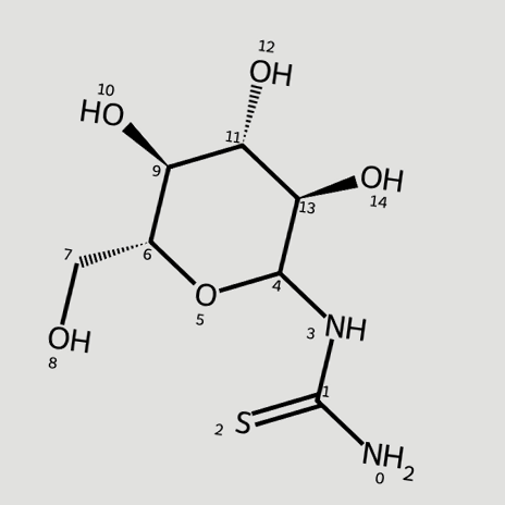 NC(=S)NC1O[C@H](CO)[C@@H](O)[C@H](O)[C@H]1O